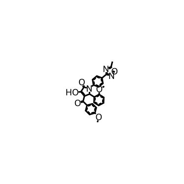 COc1ccc(C(=O)C2=C(O)C(=O)N(c3ccc(-c4noc(C)n4)cc3)C2c2ccccc2OC)cc1